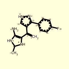 C=C(C1=C(N)NC(C)N1)c1c[nH]nc1-c1ccc(F)cc1